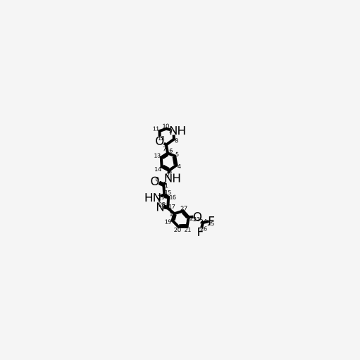 O=C(Nc1ccc(C2CNCCO2)cc1)c1cc(-c2cccc(OC(F)F)c2)n[nH]1